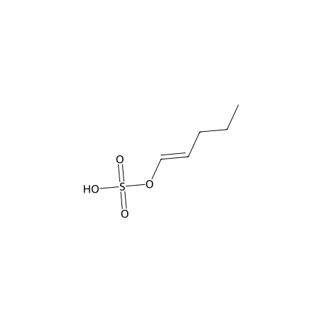 CCCC=COS(=O)(=O)O